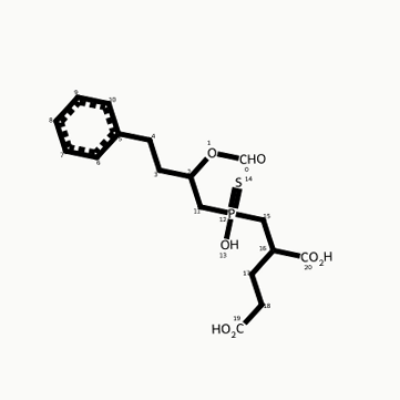 O=COC(CCc1ccccc1)CP(O)(=S)CC(CCC(=O)O)C(=O)O